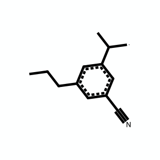 [CH2]C(C)c1cc(C#N)cc(CCC)c1